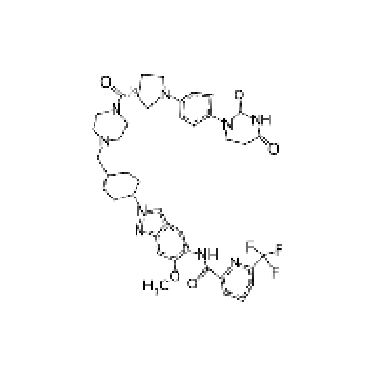 COc1cc2nn(C3CCC(CN4CCN(C(=O)[C@@H]5CCN(c6ccc(N7CCC(=O)NC7=O)cc6)C5)CC4)CC3)cc2cc1NC(=O)c1cccc(C(F)(F)F)n1